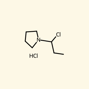 CCC(Cl)N1CCCC1.Cl